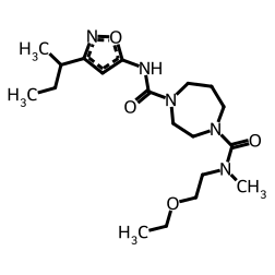 CCOCCN(C)C(=O)N1CCCN(C(=O)Nc2cc(C(C)CC)no2)CC1